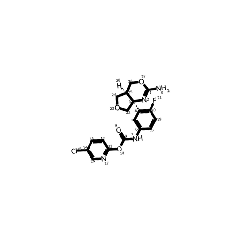 NC1=N[C@@]2(c3cc(NC(=O)Oc4ccc(Cl)cn4)ccc3F)COC[C@H]2CO1